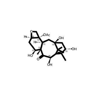 CC(=O)O[C@@]12CO[C@@H]1C[C@H](O)[C@@]1(C)C(=O)[C@H](O)C3=C(C)[C@@H](O)C[C@@](O)(C[C@H]21)C3(C)C